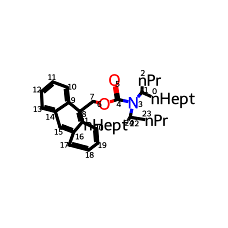 CCCCCCCC(CCC)N(C(=O)OCc1c2ccccc2cc2ccccc12)C(CCC)CCCCCCC